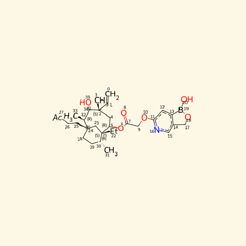 C=C[C@]1(C)C[C@@H](OC(=O)COc2cc3c(cn2)COB3O)[C@@]2(CC)C[C@](CCC(C)=O)(CC[C@H]2C)[C@@H](C)[C@@H]1O